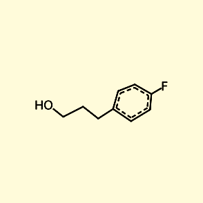 OCCCc1ccc(F)cc1